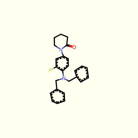 O=C1CCCCN1c1ccc(N(Cc2ccccc2)Cc2ccccc2)c(F)c1